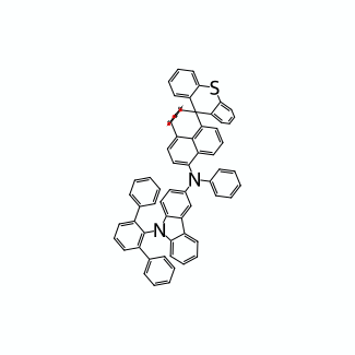 c1ccc(-c2cccc(-c3ccccc3)c2-n2c3ccccc3c3cc(N(c4ccccc4)c4ccc5c6c(cccc46)C4(c6ccccc6Sc6ccccc64)c4ccccc4-5)ccc32)cc1